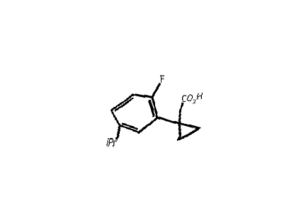 CC(C)c1ccc(F)c(C2(C(=O)O)CC2)c1